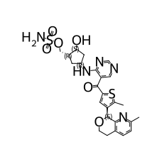 Cc1ccc2c(n1)[C@H](c1cc(C(=O)c3cncnc3N[C@@H]3C[C@H](COS(N)(=O)=O)[C@@H](O)C3)sc1C)OCC2